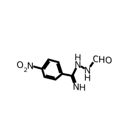 N=C(NNC=O)c1ccc([N+](=O)[O-])cc1